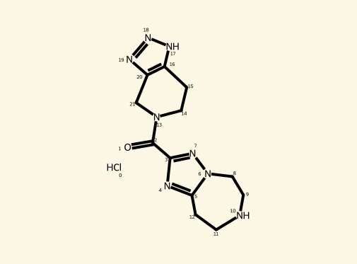 Cl.O=C(c1nc2n(n1)CCNCC2)N1CCc2[nH]nnc2C1